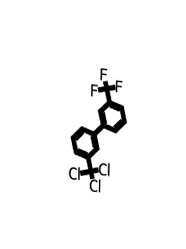 FC(F)(F)c1cccc(-c2cccc(C(Cl)(Cl)Cl)c2)c1